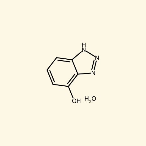 O.Oc1cccc2[nH]nnc12